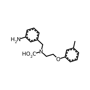 Cc1cccc(OCCN(Cc2cccc(N)c2)C(=O)O)c1